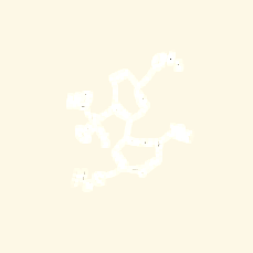 Cc1ccc(C(C)(C)C)c(-c2cc(C)ccc2S(=O)(O)=S)c1